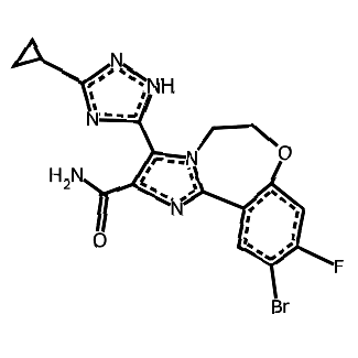 NC(=O)c1nc2n(c1-c1nc(C3CC3)n[nH]1)CCOc1cc(F)c(Br)cc1-2